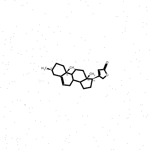 C[C@H]1CC[C@@]2(C)C(=CCC3C2CC[C@@]2(C)C3CC[C@@H]2C2=CC(=O)OC2)C1